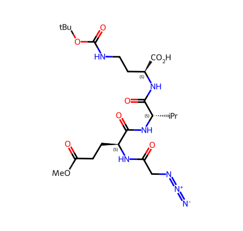 COC(=O)CC[C@H](NC(=O)CN=[N+]=[N-])C(=O)N[C@H](C(=O)N[C@@H](CCNC(=O)OC(C)(C)C)C(=O)O)C(C)C